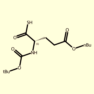 CCCCOC(=O)CC[C@H](NC(=O)OC(C)(C)C)C(=O)S